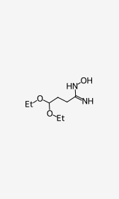 CCOC(CCC(=N)NO)OCC